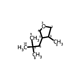 CC1COCC1CC(C)(C)C